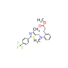 COC(=O)CCc1ccccc1N(C)Cc1sc(-c2ccc(C(F)(F)F)cc2)nc1C